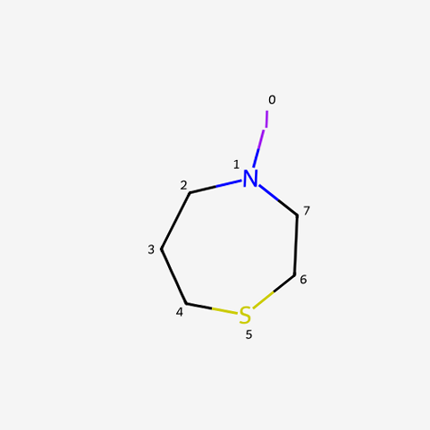 IN1CCCSCC1